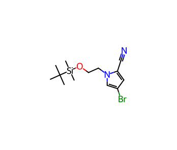 CC(C)(C)[Si](C)(C)OCCn1cc(Br)cc1C#N